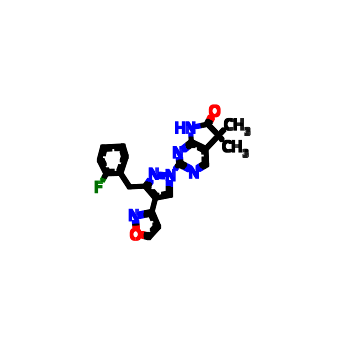 CC1(C)C(=O)Nc2nc(-n3cc(-c4ccon4)c(Cc4ccccc4F)n3)ncc21